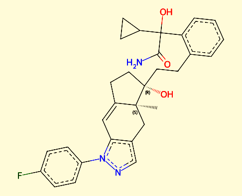 C[C@]12Cc3cnn(-c4ccc(F)cc4)c3C=C1CC[C@@]2(O)CCc1ccccc1C(O)(C(N)=O)C1CC1